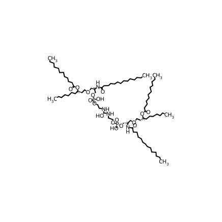 CCCCCCCCCCCCCC(=O)N[C@H](COCC[C@@H](CCCCCCC)OC(=O)CCCCCCCCCCC)COP(=O)(O)OCCNC(O)NCCOP(=O)(O)OC[C@H](COCC[C@@H](CCCCCCC)OC(=O)CCCCCCCCCCC)NC(=O)CCCCCCCCCCCCC